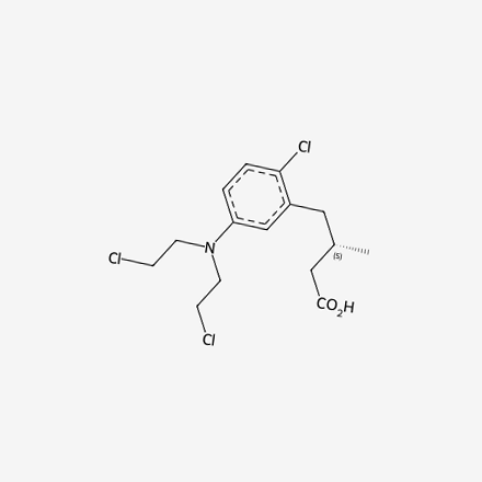 C[C@H](CC(=O)O)Cc1cc(N(CCCl)CCCl)ccc1Cl